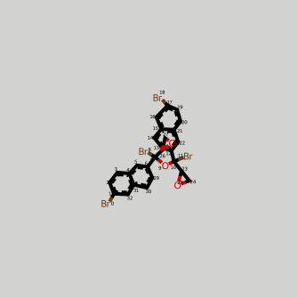 Brc1ccc2cc(C(Br)(OC(Br)(c3ccc4cc(Br)ccc4c3)C3CO3)C3CO3)ccc2c1